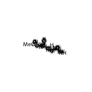 COc1cccnc1[C@@H]1CCC[C@H](c2cn3c(N4CCN(C)CC4)cc(-c4cnc([C@@H]5CCC[C@H](c6cn7c(N8CCNC9(CC9)C8)cccc7n6)N5)c(C)c4)cc3n2)N1